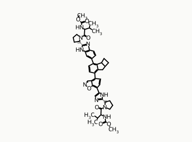 COC(=O)NC(C(=O)N1CCC[C@H]1c1ncc(-c2ccc(-c3ccc(-c4ccc5nc([C@@H]6CCCN6C(=O)C(NC(=O)OC)C(C)C)[nH]c5c4)c4c3CC3CCC43)c3cnoc23)[nH]1)C(C)C